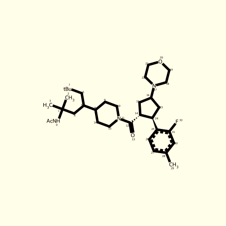 CC(=O)NC(C)(C)CC(CC(C)(C)C)C1CCN(C(=O)[C@@H]2CC(N3CCOCC3)C[C@H]2c2ccc(C)cc2F)CC1